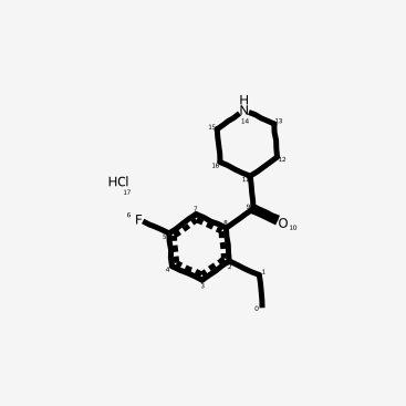 CCc1ccc(F)cc1C(=O)C1CCNCC1.Cl